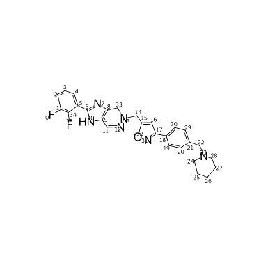 Fc1cccc(-c2nc3c([nH]2)C=NN(Cc2cc(-c4ccc(CN5CCCCC5)cc4)no2)C3)c1F